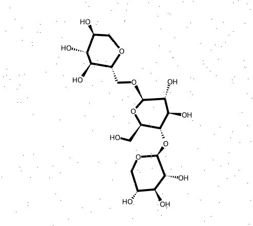 OC[C@H]1O[C@@H](OC[C@H]2O[CH][C@H](O)[C@@H](O)[C@@H]2O)[C@H](O)[C@@H](O)[C@@H]1O[C@@H]1OC[C@@H](O)[C@H](O)[C@H]1O